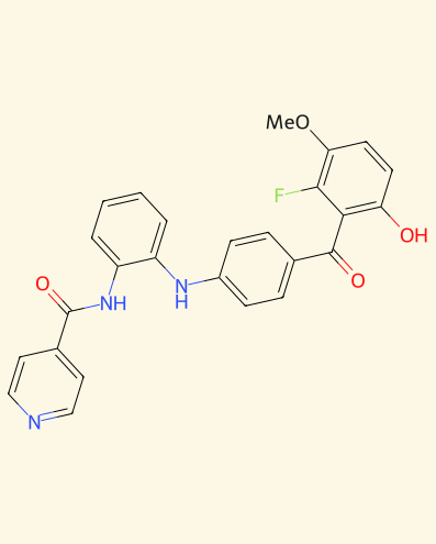 COc1ccc(O)c(C(=O)c2ccc(Nc3ccccc3NC(=O)c3ccncc3)cc2)c1F